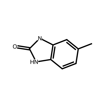 Cc1ccc2c(c1)[N]C(=O)N2